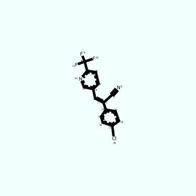 N#C/C(=C\c1ccc(C(F)(F)F)nc1)c1ccc(Cl)cc1